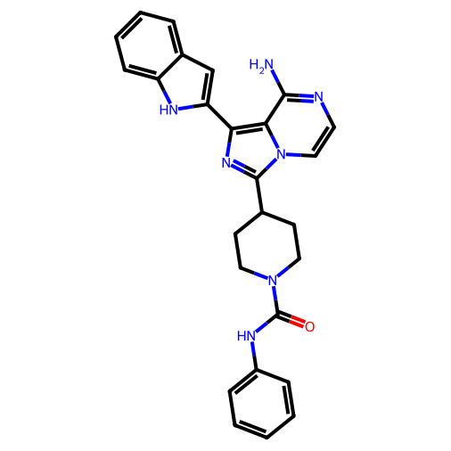 Nc1nccn2c(C3CCN(C(=O)Nc4ccccc4)CC3)nc(-c3cc4ccccc4[nH]3)c12